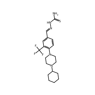 NC(=S)NN=Cc1ccc(N2CCN(C3CCCCC3)CC2)c(C(F)(F)F)c1